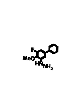 COc1c(F)cc(-c2ccccc2)cc1NN